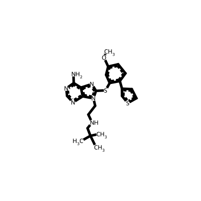 COc1ccc(-c2ccsc2)c(Sc2nc3c(N)ncnc3n2CCNCC(C)(C)C)c1